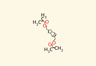 C=C(C)C(=O)OCCC1=CC2C3CC(C=C3CCOC(=O)C(=C)C)C2C1